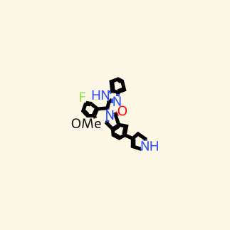 COc1ccc(F)cc1C(c1nc2ccccc2[nH]1)N1Cc2ccc(C3=CCNCC3)cc2C1=O